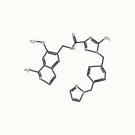 COc1cc2c(N)nccc2cc1CNC(=O)c1nc(C)n(Cc2ccc(Cn3cccn3)cc2)n1